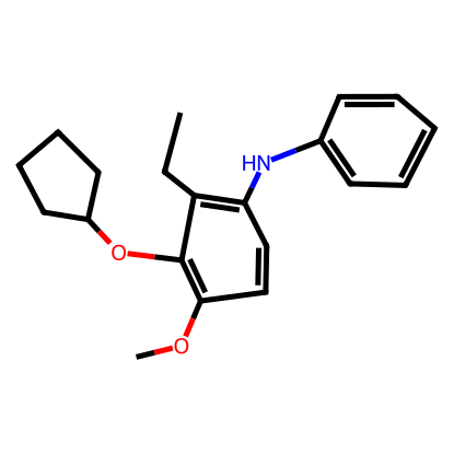 CCc1c(Nc2ccccc2)ccc(OC)c1OC1CCCC1